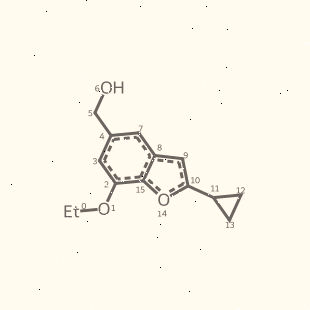 CCOc1cc(CO)cc2cc(C3CC3)oc12